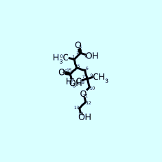 CC(C(=O)O)C(CC(C)(C)COCCO)C(=O)O